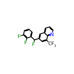 Fc1cccc(C(F)c2cc(C(F)(F)F)c3ncccc3c2)c1F